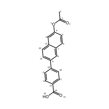 CC(=O)Oc1ccc2cc(-c3ccc(C(=O)O)cc3)ccc2c1